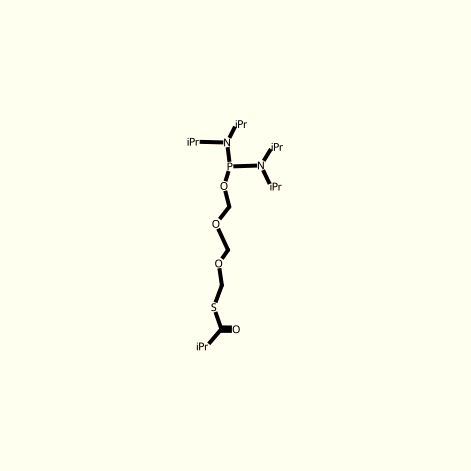 CC(C)C(=O)SCOCOCOP(N(C(C)C)C(C)C)N(C(C)C)C(C)C